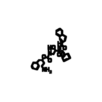 NCCC(Cc1ccccc1)OC(=O)NCC(O)C(O)(Cc1ccccc1)NC(=O)c1ccc2ccccc2c1